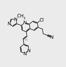 Cn1cncc1-c1cc(/C=C/c2ccnnc2)c2cc(CCC#N)c(Cl)cc2n1